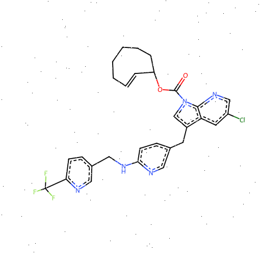 O=C(OC1/C=C/CCCCC1)n1cc(Cc2ccc(NCc3ccc(C(F)(F)F)nc3)nc2)c2cc(Cl)cnc21